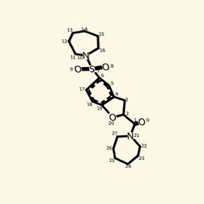 O=C(C1Cc2cc(S(=O)(=O)N3CCCCCC3)ccc2O1)N1CCCCCC1